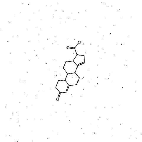 CC(=O)C1CC=C2C1CCC1C3CCC(=O)C=C3CCC21